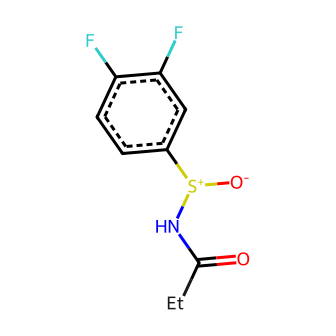 CCC(=O)N[S+]([O-])c1ccc(F)c(F)c1